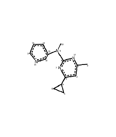 Cc1cc(C2CC2)nc(N(C)c2cccnc2)n1